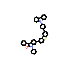 c1ccc(-n2c3cc(-c4ccc5sc6ccc(-c7ccc(-n8c9ccccc9c9ccccc98)cc7)cc6c5c4)ccc3c3c4ccccc4oc32)cc1